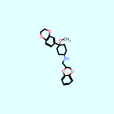 CO[C@]1(c2ccc3c(c2)OCCO3)CC[C@H](NCC2COc3ccccc3O2)CC1